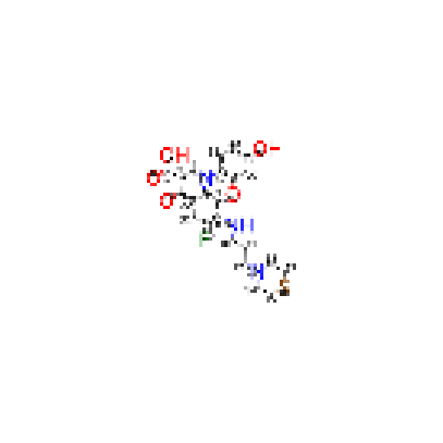 O=C(O)c1cn2c3c(c(NCCCN4CCSCC4)c(F)cc3c1=O)Oc1cc(O)ccc1-2